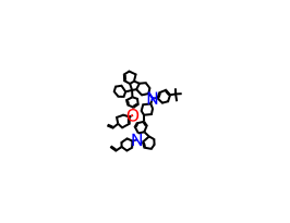 C=CC1CC=C(OC2=CCC(C3(C4CCCCC4)C4C=CCCC4C4CCC(N(C5=CC=C(C(C)(C)C)CC5)C5CCC(C6=CC7C8CCCC=C8N(C8CCC(C=C)CC8)C7C=C6)CC5)CC43)C=C2)CC1